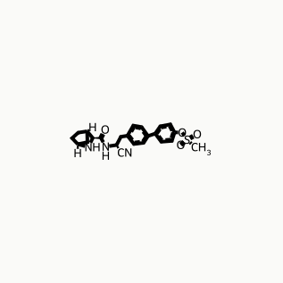 CS(=O)(=O)Oc1ccc(-c2ccc(C[C@@H](C#N)NC(=O)[C@H]3N[C@@H]4CC[C@H]3C4)cc2)cc1